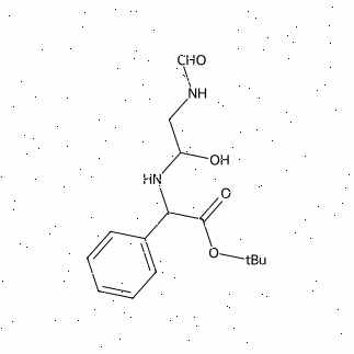 CC(C)(C)OC(=O)C(NC(O)CNC=O)c1ccccc1